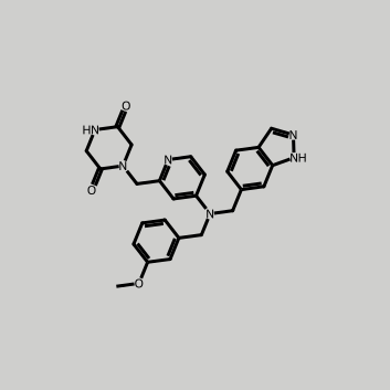 COc1cccc(CN(Cc2ccc3cn[nH]c3c2)c2ccnc(CN3CC(=O)NCC3=O)c2)c1